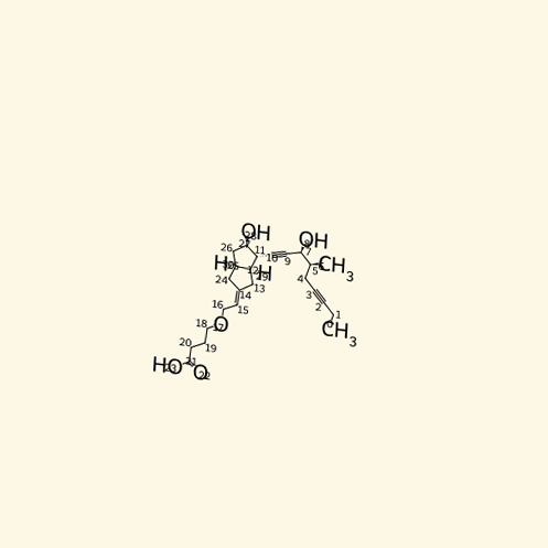 CCC#CC[C@H](C)[C@H](O)C#C[C@@H]1[C@H]2C/C(=C/COCCCC(=O)O)C[C@H]2C[C@H]1O